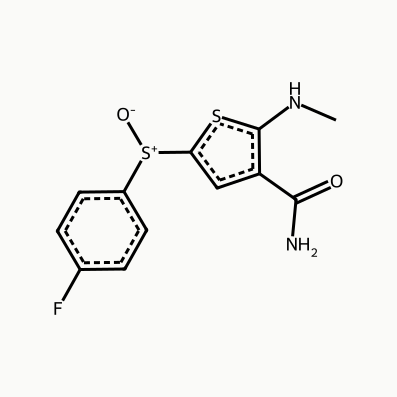 CNc1sc([S+]([O-])c2ccc(F)cc2)cc1C(N)=O